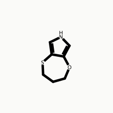 c1[nH]cc2c1OCCCS2